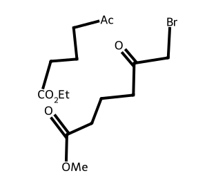 CCOC(=O)CCCC(C)=O.COC(=O)CCCC(=O)CBr